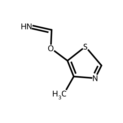 Cc1ncsc1OC=N